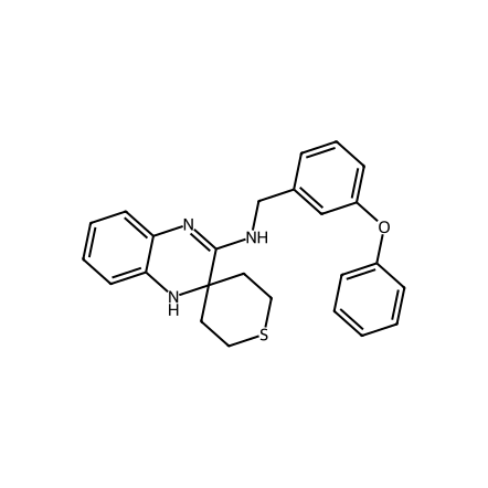 c1ccc(Oc2cccc(CNC3=Nc4ccccc4NC34CCSCC4)c2)cc1